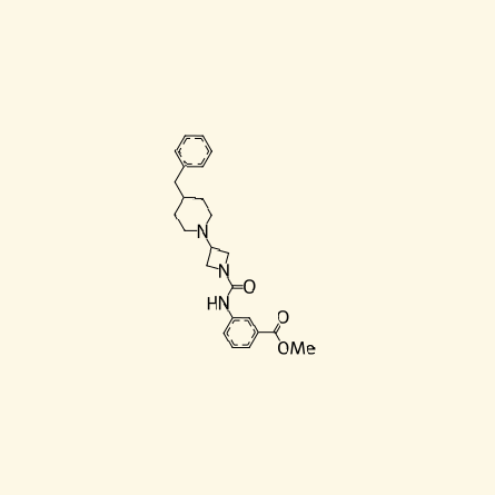 COC(=O)c1cccc(NC(=O)N2CC(N3CCC(Cc4ccccc4)CC3)C2)c1